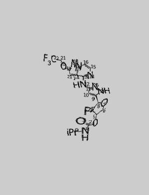 CC(C)NC(=O)O[C@@H]1CO[C@H](c2cc(Nc3nccn4nc(OCC(F)(F)F)cc34)n[nH]2)[C@@H]1F